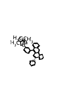 CC1(C)CB(c2cccc(C3=C4C=C([C@H]5C=CC=CC5)c5ccccc5C4Cc4ccccc43)c2)OC1(C)C